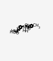 Cc1ccc(S(=O)(=O)NC(=O)NCc2ccc3sc(C(=O)NO)cc3c2)cc1